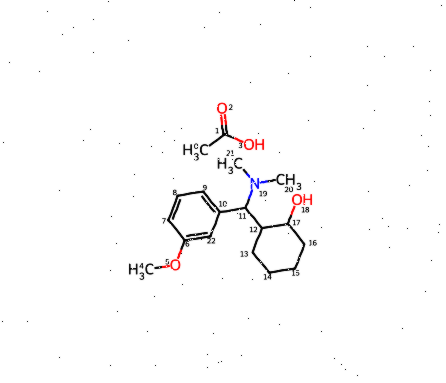 CC(=O)O.COc1cccc(C(C2CCCCC2O)N(C)C)c1